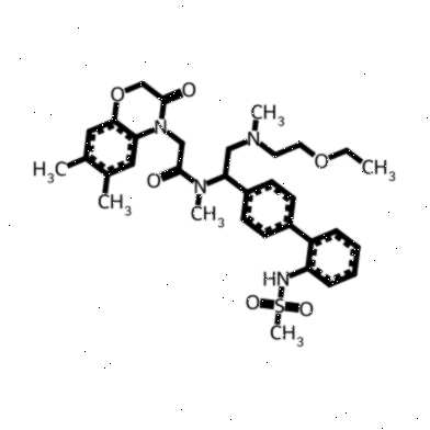 CCOCCN(C)CC(c1ccc(-c2ccccc2NS(C)(=O)=O)cc1)N(C)C(=O)CN1C(=O)COc2cc(C)c(C)cc21